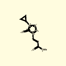 COC(=O)/C=C/n1nnn(C2CC2)c1=O